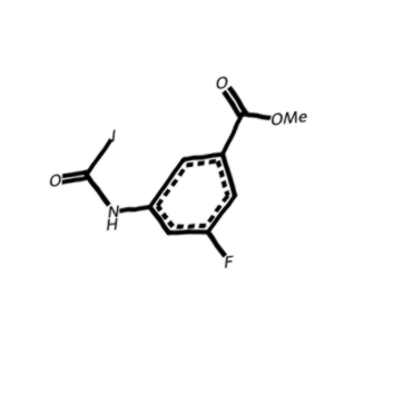 COC(=O)c1cc(F)cc(NC(=O)I)c1